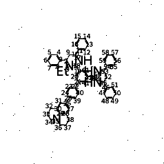 CCN1C(c2ccccc2)CC(c2ccccc2)NC1c1cc(-c2ccc(-c3cc4c5c(c3)CCCN5CCC4)cc2)cc(C2NC(c3ccccc3)CC(c3ccccc3)N2)c1